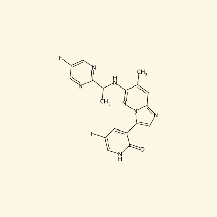 Cc1cc2ncc(-c3cc(F)c[nH]c3=O)n2nc1NC(C)c1ncc(F)cn1